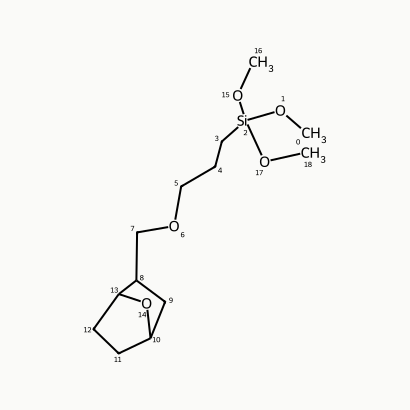 CO[Si](CCCOCC1CC2CCC1O2)(OC)OC